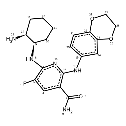 NC(=O)c1cc(F)c(N[C@@H]2CCCC[C@@H]2N)nc1Nc1ccc2c(c1)OCCO2